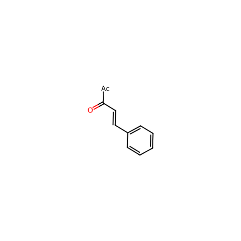 CC(=O)C(=O)/C=C/c1ccccc1